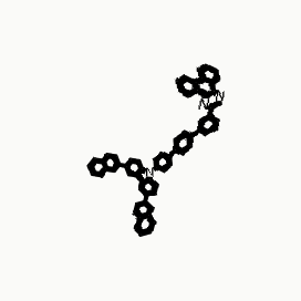 c1cc(-c2ccc(-c3ccc(-n4c5ccc(-c6ccc7ccccc7c6)cc5c5cc(-c6ccc7ccccc7c6)ccc54)cc3)cc2)cc(-c2cnc3c4ccccc4c4ccccc4c3n2)c1